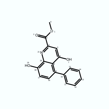 COC(=O)c1cc(O)c2c(-c3ccccc3)ccc(O)c2n1